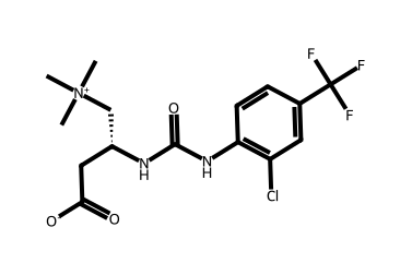 C[N+](C)(C)C[C@@H](CC(=O)[O-])NC(=O)Nc1ccc(C(F)(F)F)cc1Cl